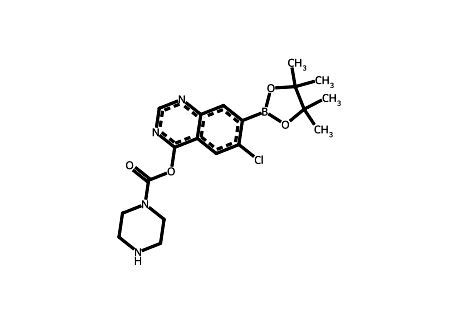 CC1(C)OB(c2cc3ncnc(OC(=O)N4CCNCC4)c3cc2Cl)OC1(C)C